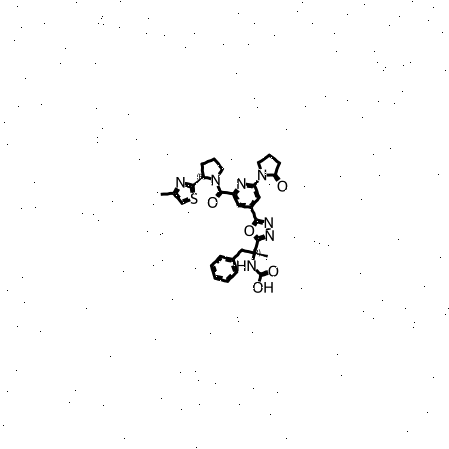 Cc1csc([C@H]2CCCN2C(=O)c2cc(-c3nnc([C@@](C)(Cc4ccccc4)NC(=O)O)o3)cc(N3CCCC3=O)n2)n1